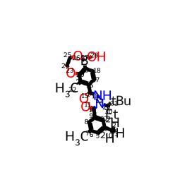 [2H]C([2H])([2H])c1cc(C)cc(C(=O)N(NC(=O)c2ccc3c(c2C)OCCOB3O)[C@@H](CC)C(C)(C)C)c1